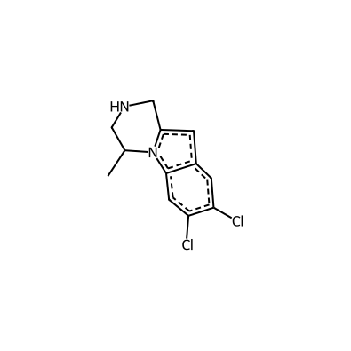 CC1CNCc2cc3cc(Cl)c(Cl)cc3n21